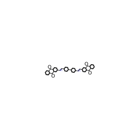 O=C1c2ccccc2C(=O)c2cc(/C=C/c3ccc(-c4ccc(/C=C/c5ccc6c(c5)C(=O)c5ccccc5C6=O)cc4)cc3)ccc21